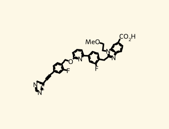 COCCn1c(Cc2ccc(-c3cccc(OCc4ccc(C#Cc5cncnc5)cc4F)n3)cc2F)nc2ccc(C(=O)O)cc21